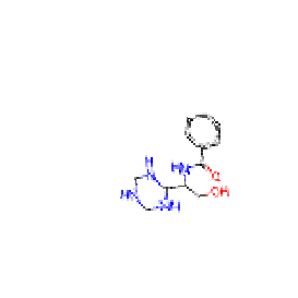 O=C(NC(CO)C1NCNCN1)c1ccccc1